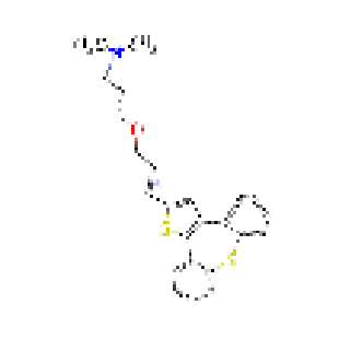 CN(C)CCCOC/C=C/c1cc2c(s1)-c1ccccc1Sc1ccccc1-2